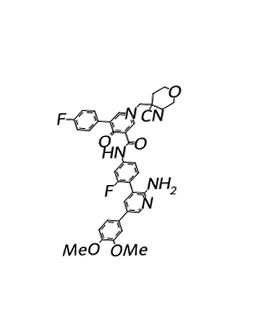 COc1ccc(-c2cnc(N)c(-c3ccc(NC(=O)c4cn(CC5(C#N)CCOCC5)cc(-c5ccc(F)cc5)c4=O)cc3F)c2)cc1OC